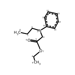 CCCN(CC(=O)OCC)c1ccccc1